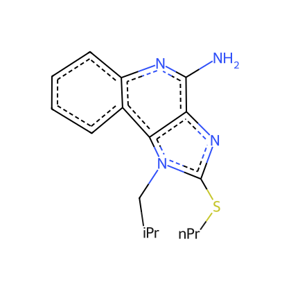 CCCSc1nc2c(N)nc3ccccc3c2n1CC(C)C